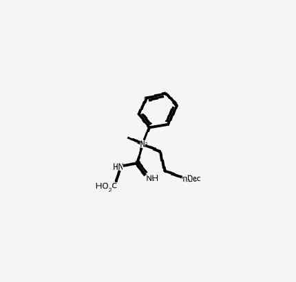 CCCCCCCCCCCC[N+](C)(C(=N)NC(=O)O)c1ccccc1